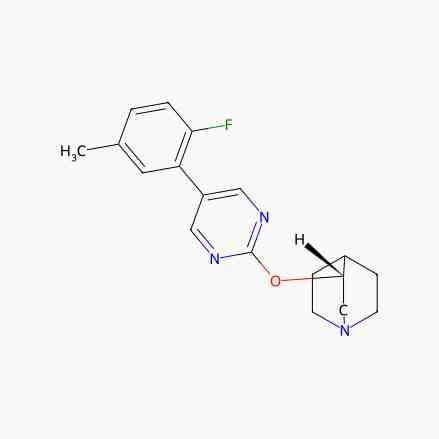 Cc1ccc(F)c(-c2cnc(O[C@H]3CN4CCC3CC4)nc2)c1